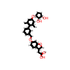 Cc1cc(O[C@@H]2CC[C@H](O)[C@@H]2O)cc(C)c1-c1cccc(COc2ccc3c(c2)OCC3CC(=O)O)c1